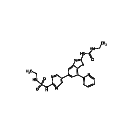 CCNC(=O)Nc1nc2cc(-c3cnc(NS(=O)(=O)NCC)nc3)cc(-c3ccccn3)c2s1